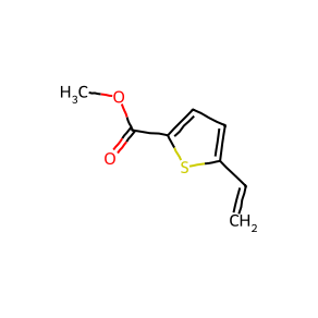 C=Cc1ccc(C(=O)OC)s1